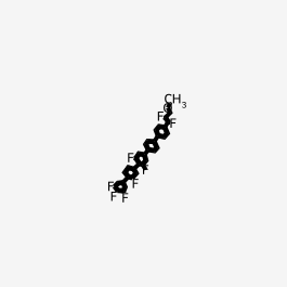 CCOC/C(F)=C(\F)c1ccc(-c2ccc(-c3cc(F)c(-c4ccc(-c5cc(F)c(F)c(F)c5)c(F)c4)c(F)c3)cc2)cc1